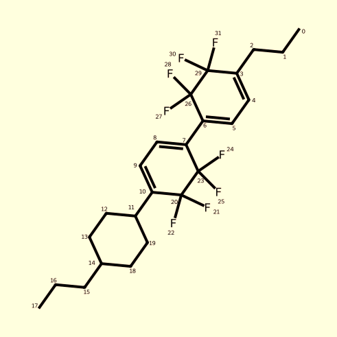 CCCC1=CC=C(C2=CC=C(C3CCC(CCC)CC3)C(F)(F)C2(F)F)C(F)(F)C1(F)F